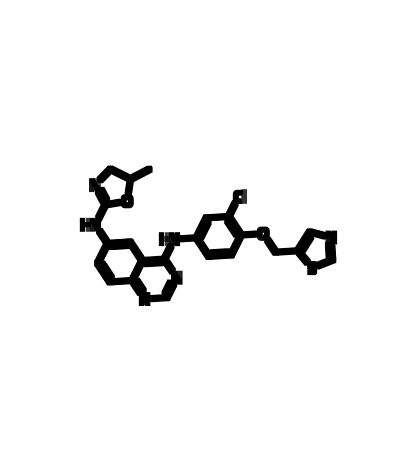 CC1CN=C(Nc2ccc3ncnc(Nc4ccc(OCc5cncs5)c(Cl)c4)c3c2)O1